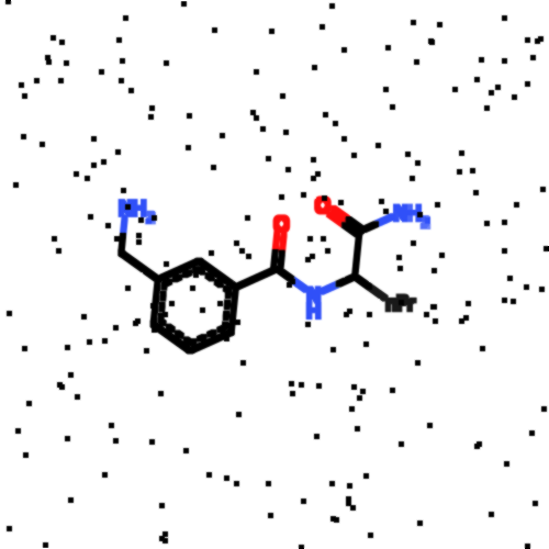 CCCC(NC(=O)c1cccc(CN)c1)C(N)=O